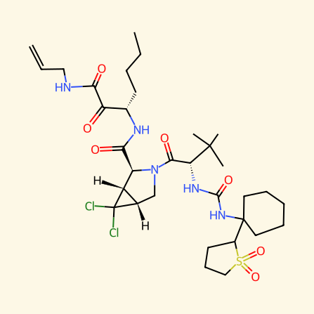 C=CCNC(=O)C(=O)[C@H](CCCC)NC(=O)[C@@H]1[C@@H]2[C@H](CN1C(=O)[C@@H](NC(=O)NC1(C3CCCS3(=O)=O)CCCCC1)C(C)(C)C)C2(Cl)Cl